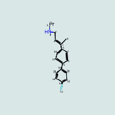 CC(=CCNC(C)C)c1ccc(-c2ccc(F)cc2)cc1